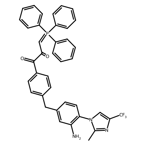 Cc1nc(C(F)(F)F)cn1-c1ccc(Cc2ccc(C(=O)C(=O)C=P(c3ccccc3)(c3ccccc3)c3ccccc3)cc2)cc1N